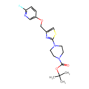 CC(C)(C)OC(=O)N1CCN(c2nc(COc3ccc(F)nc3)cs2)CC1